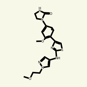 COCCn1cc(Nc2nc(-c3ccc(N4CCNC4=O)cc3OC)cs2)cn1